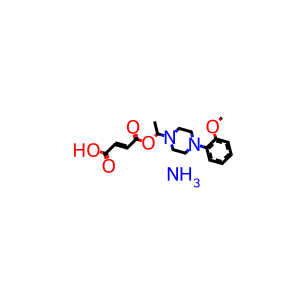 COc1ccccc1N1CCN(C(C)OC(=O)/C=C/C(=O)O)CC1.N